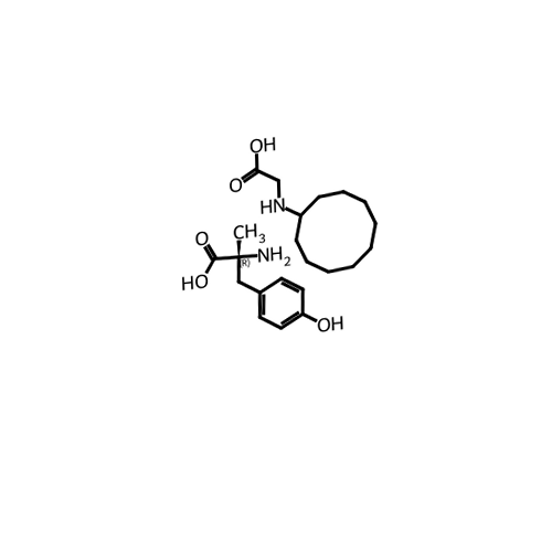 C[C@@](N)(Cc1ccc(O)cc1)C(=O)O.O=C(O)CNC1CCCCCCCCC1